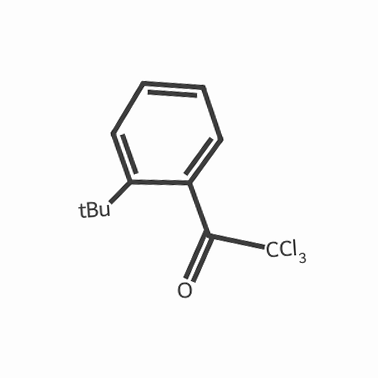 CC(C)(C)c1ccccc1C(=O)C(Cl)(Cl)Cl